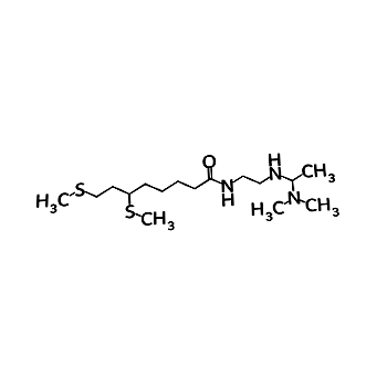 CSCCC(CCCCC(=O)NCCNC(C)N(C)C)SC